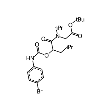 CCCN(CC(=O)OC(C)(C)C)C(=O)C(CC(C)C)OC(=O)Nc1ccc(Br)cc1